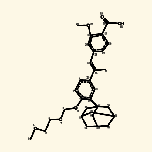 COCCOCOc1ccc(C(C)=Cc2ccc(C(=O)O)c(OC)c2)cc1C12CC3CC(CC(C3)C1)C2